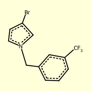 FC(F)(F)c1cccc(Cn2ccc(Br)c2)c1